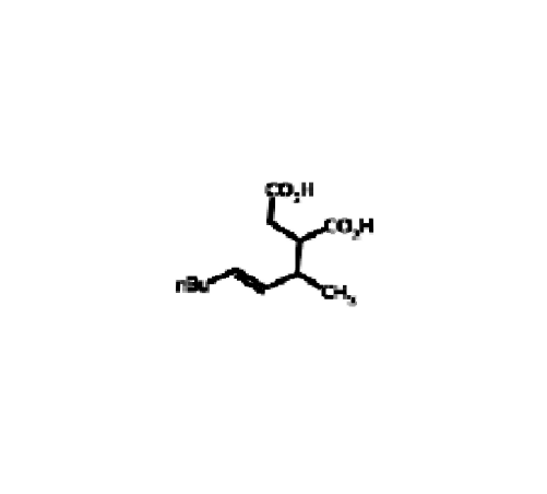 CCCCC=CC(C)C(CC(=O)O)C(=O)O